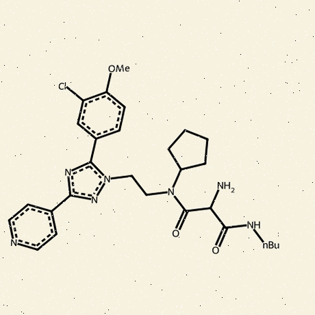 CCCCNC(=O)C(N)C(=O)N(CCn1nc(-c2ccncc2)nc1-c1ccc(OC)c(Cl)c1)C1CCCC1